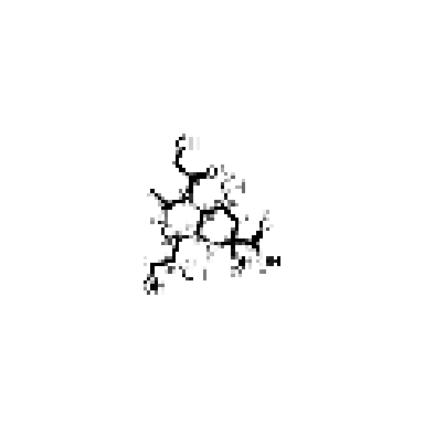 CC(=O)N(C(=O)CO)[C@@H]1[C@@H](O)C[C@](O)(C(=O)O)O[C@H]1C(O)[C@H](O)CO